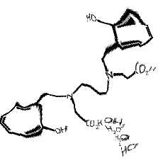 Cl.O.O.O.O=C(O)CN(CCN(CC(=O)O)Cc1ccccc1O)Cc1ccccc1O